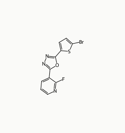 Fc1ncccc1-c1nnc(-c2ccc(Br)s2)o1